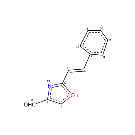 O=Cc1coc(C=Cc2ccccc2)n1